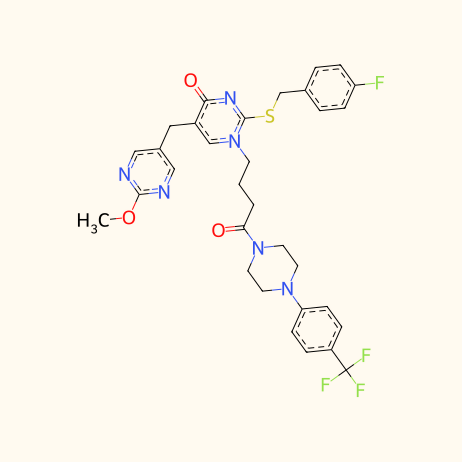 COc1ncc(Cc2cn(CCCC(=O)N3CCN(c4ccc(C(F)(F)F)cc4)CC3)c(SCc3ccc(F)cc3)nc2=O)cn1